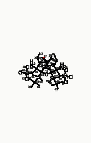 CCCC(N)(C[Si](Cl)(Cl)Cl)C(OC(C(N)(CCC)C[Si](Cl)(Cl)Cl)([Si](C)(C)C(C)(C)C)[Si](C)(C)C(C)(C)C)([Si](C)(C)C(C)(C)C)[Si](C)(C)C(C)(C)C